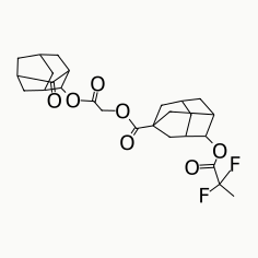 CC(F)(F)C(=O)OC1C2CC3CC1CC(C(=O)OCC(=O)OC1C4CC5CC(C4)C(=O)C1C5)(C3)C2